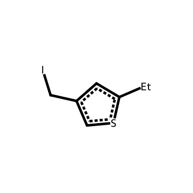 CCc1cc(CI)cs1